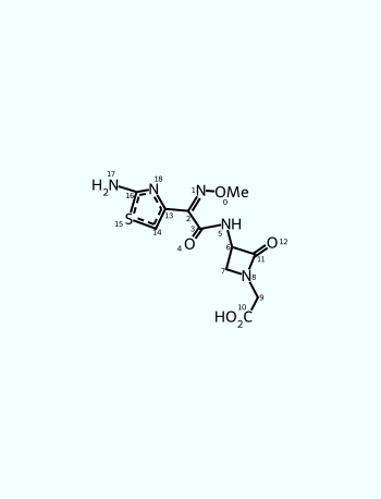 CON=C(C(=O)NC1CN(CC(=O)O)C1=O)c1csc(N)n1